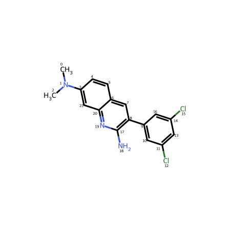 CN(C)c1ccc2cc(-c3cc(Cl)cc(Cl)c3)c(N)nc2c1